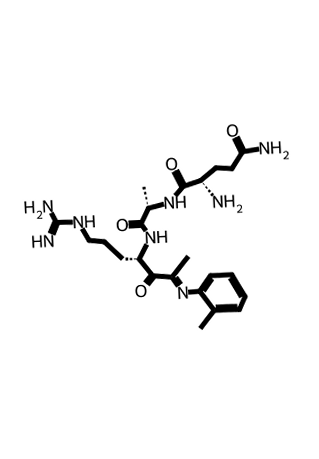 C/C(=N\c1ccccc1C)C(=O)[C@H](CCCNC(=N)N)NC(=O)[C@H](C)NC(=O)[C@@H](N)CCC(N)=O